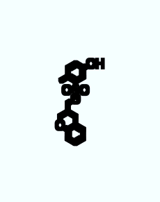 Cc1ccc(O)cc1S(=O)(=O)OCC1COc2ccccc2C1